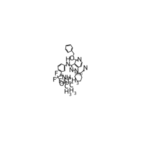 CC(C)(C)[S@@+]([O-])N[C@@H](c1cccc(Nc2nn([C@H]3CCCC[C@@H]3C#N)c3ccnc(OCc4ccccc4)c23)c1)C(F)(F)F